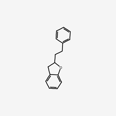 c1ccc(CCC2Cc3ccccc3O2)cc1